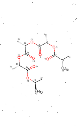 CC(=O)O[C@@H](C)C(=O)O[C@@H](C)C(=O)O[C@@H](C)C(=O)O[C@@H](C)C(=O)O[C@@H](C)C=O